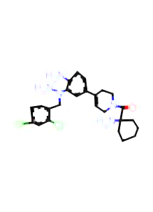 C[C@H](c1ccc(Cl)cc1Cl)N(N)c1cc(C2=CCN(C(=O)C3(N)CCCCC3)CC2)ccc1N